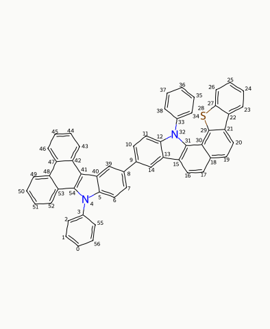 c1ccc(-n2c3ccc(-c4ccc5c(c4)c4ccc6ccc7c8ccccc8sc7c6c4n5-c4ccccc4)cc3c3c4ccccc4c4ccccc4c32)cc1